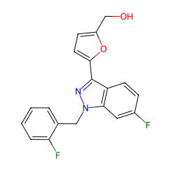 OCc1ccc(-c2nn(Cc3ccccc3F)c3cc(F)ccc23)o1